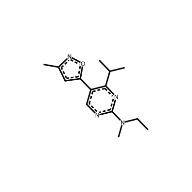 CCN(C)c1ncc(-c2cc(C)no2)c(C(C)C)n1